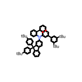 CC(C)(C)c1ccc(C2(c3ccc(C(C)(C)C)cc3)c3ccccc3-c3ccc(N(c4cccc(-c5cc(C(C)(C)C)cc(C(C)(C)C)c5)c4)c4ccccc4-c4ccccc4)cc32)cc1